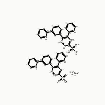 O=S(=O)([O-])c1nnc(-c2cccc(-c3ccccn3)c2)c(-c2ccccc2)n1.O=S(=O)([O-])c1nnc(-c2cccc(-c3ccccn3)c2)c(-c2ccccc2)n1.[Na+].[Na+]